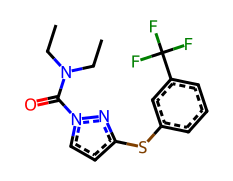 CCN(CC)C(=O)n1ccc(Sc2cccc(C(F)(F)F)c2)n1